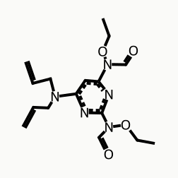 C=CCN(CC=C)c1cc(N(C=O)OCC)nc(N(C=O)OCC)n1